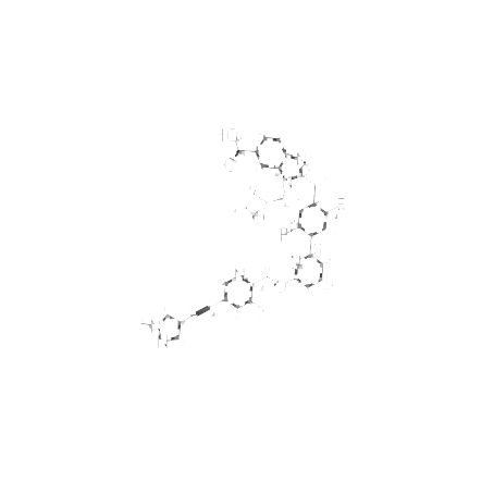 Cc1cc(C#Cc2cnn(C)c2)cnc1COc1cccc(-c2cc(F)c(Cc3nc4ccc(C(=O)O)cc4n3C[C@@H]3CCO3)cc2F)n1